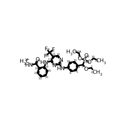 CCOC(c1ccc(Nc2ncc(C(F)(F)F)c(Nc3ccccc3C(=O)NC)n2)cc1)P(=O)(OCC)OCC